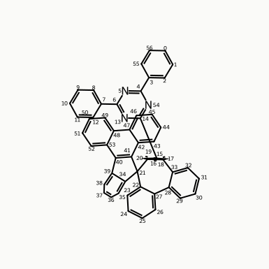 c1ccc(-c2nc(-c3ccccc3)nc(-c3ccc4c(c3)C3(c5ccccc5-c5ccccc5-4)c4ccccc4-c4c3c3ccccc3c3ccccc43)n2)cc1